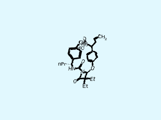 C=CCC(c1ccc(O[C@@H]2N(C(=O)N[C@H](CCC)c3ccc(C)cc3)C(=O)C2(CC)CC)cc1)[PH](=O)O